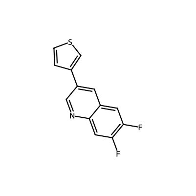 Fc1cc2cc(-c3ccsc3)cnc2cc1F